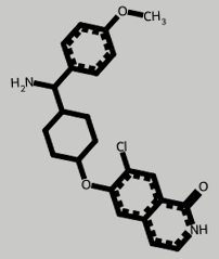 COc1ccc(C(N)C2CCC(Oc3cc4cc[nH]c(=O)c4cc3Cl)CC2)cc1